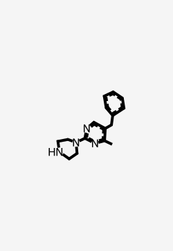 Cc1nc(N2CCNCC2)ncc1Cc1ccccc1